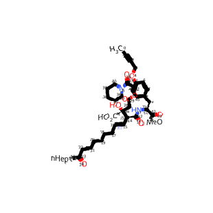 CC#CCOc1ccc(C[C@H](NC(=O)[C@@H](/C=C/CCCCCCC(=O)CCCCCCC)[C@@](O)(CC(=O)OCC(=O)N2CCCCC2)C(=O)O)C(=O)OC)cc1